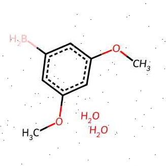 Bc1cc(OC)cc(OC)c1.O.O